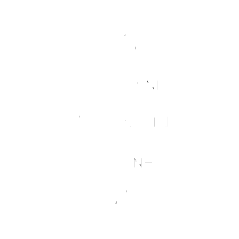 Cl.O=C(NO)NO